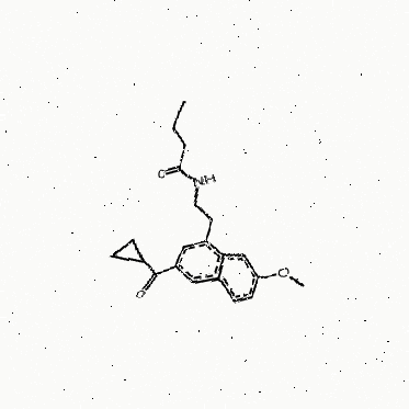 CCCC(=O)NCCc1cc(C(=O)C2CC2)cc2ccc(OC)cc12